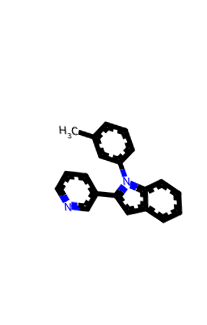 Cc1cccc(-n2c(-c3cccnc3)cc3ccccc32)c1